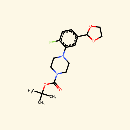 CC(C)(C)OC(=O)N1CCN(c2cc(C3OCCO3)ccc2F)CC1